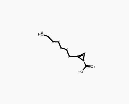 O=C(O)[C@@H]1C=C1CCCCCCO